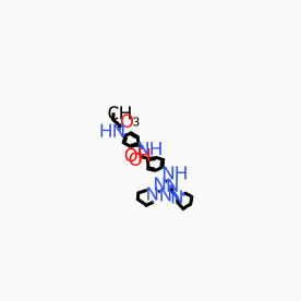 CCC(=O)Nc1ccc(NC(=O)c2ccc(Nc3nc(N4CCCCC4)nc(N4CCCCC4)n3)cc2)c(O)c1